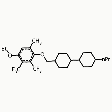 CCCC1CCC(C2CCC(COc3c(C)cc(OCC)c(C(F)(F)F)c3C(F)(F)F)CC2)CC1